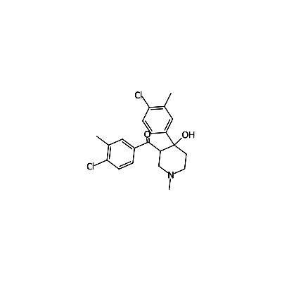 Cc1cc(C(=O)C2CN(C)CCC2(O)c2ccc(Cl)c(C)c2)ccc1Cl